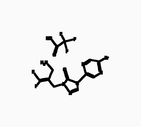 NCC(Cn1ncn(-c2cnc(Br)cn2)c1=O)=C(F)F.O=C(O)C(F)(F)F